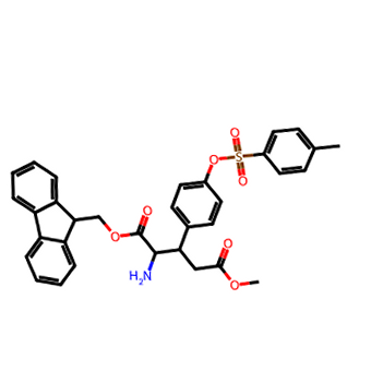 COC(=O)CC(c1ccc(OS(=O)(=O)c2ccc(C)cc2)cc1)C(N)C(=O)OCC1c2ccccc2-c2ccccc21